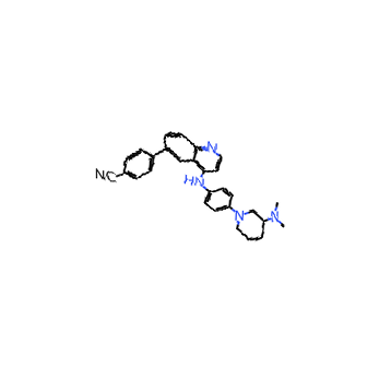 CN(C)C1CCCN(c2ccc(Nc3ccnc4ccc(-c5ccc(C#N)cc5)cc34)cc2)C1